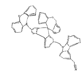 N#Cc1ccc2c(c1)c1ccccc1n2-c1cnc2c(c1)C1(c3ccccc3Oc3ccccc31)c1cc(N3c4ccccc4Oc4ccccc43)cnc1-2